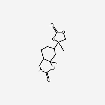 CC1(C2CCC3COC(=O)OC3(C)C2)COC(=O)O1